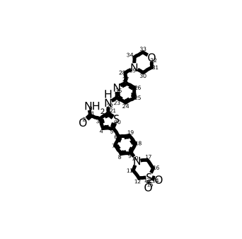 NC(=O)c1cc(-c2ccc(N3CCS(=O)(=O)CC3)cc2)sc1Nc1cccc(CN2CCOCC2)n1